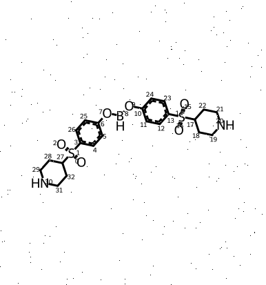 O=S(=O)(c1ccc(OBOc2ccc(S(=O)(=O)C3CCNCC3)cc2)cc1)C1CCNCC1